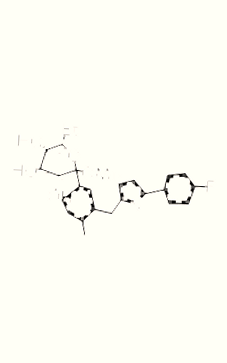 CC[C@H]1OC(OC)(c2ccc(C)c(Cc3ccc(-c4ccc(F)cc4)s3)c2)[C@H](O)[C@@H](O)[C@@H]1O